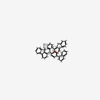 CC1(C)c2ccccc2-c2cccc(N(c3ccc(-c4cccc5ccccc45)cc3)c3ccccc3-c3cccc4c3sc3ccccc34)c21